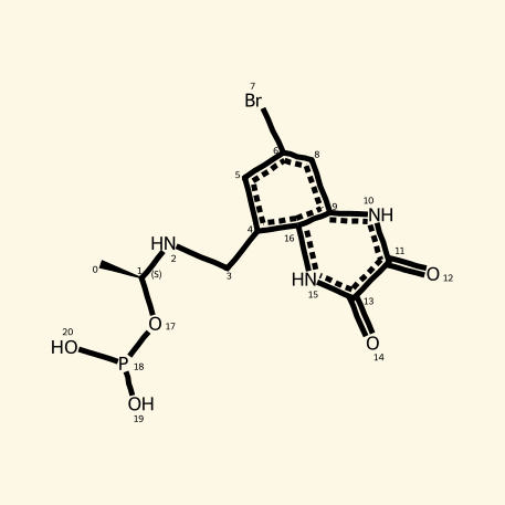 C[C@@H](NCc1cc(Br)cc2[nH]c(=O)c(=O)[nH]c12)OP(O)O